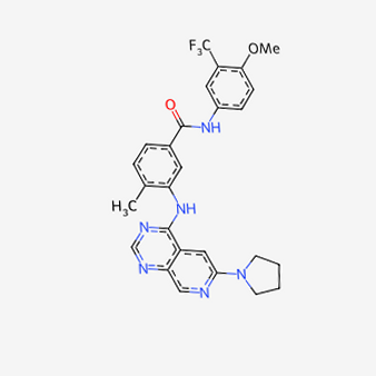 COc1ccc(NC(=O)c2ccc(C)c(Nc3ncnc4cnc(N5CCCC5)cc34)c2)cc1C(F)(F)F